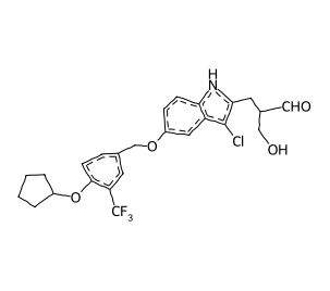 O=CC(CO)Cc1[nH]c2ccc(OCc3ccc(OC4CCCC4)c(C(F)(F)F)c3)cc2c1Cl